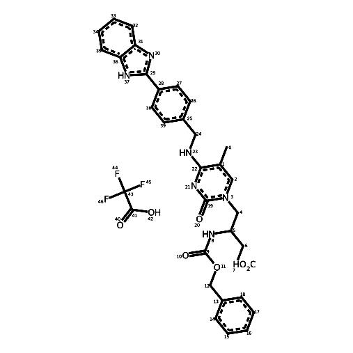 Cc1cn(CC(CC(=O)O)NC(=O)OCc2ccccc2)c(=O)nc1NCc1ccc(-c2nc3ccccc3[nH]2)cc1.O=C(O)C(F)(F)F